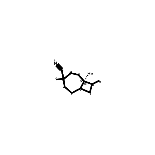 CC1CC2CCC(C)(C#N)CC[C@@H]12